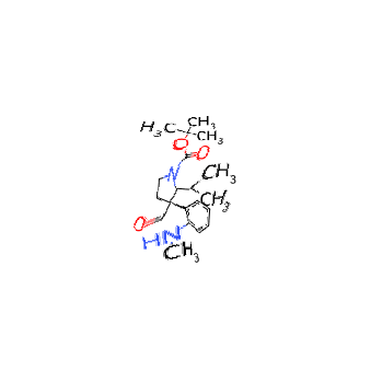 CNc1ccccc1[C@@]1(C=O)CCN(C(=O)OC(C)(C)C)C1C(C)C